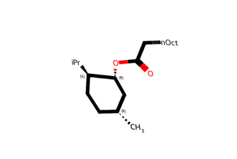 CCCCCCCCCC(=O)O[C@@H]1C[C@H](C)CC[C@H]1C(C)C